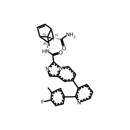 Cc1cc(-c2ncccc2-c2ccn3c(C(=O)N[C@@H]4C5C=CC([C@@H]5C)[C@@H]4C(N)=O)ncc3c2)ccc1F